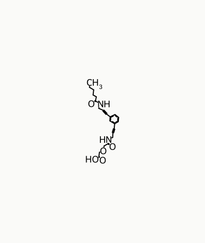 CCCCCC(=O)NCC#Cc1cccc(C#CCNC(=O)COCC(=O)O)c1